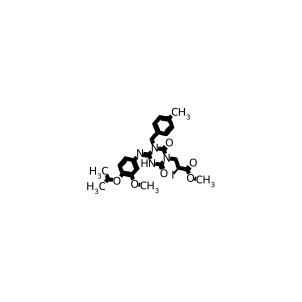 COC(=O)[C@@H](I)Cn1c(=O)[nH]/c(=N\c2ccc(OC(C)C)c(OC)c2)n(Cc2ccc(C)cc2)c1=O